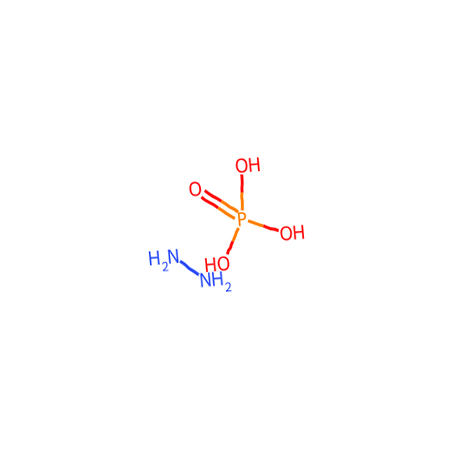 NN.O=P(O)(O)O